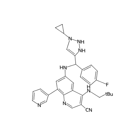 CC(C)(C)CNc1c(C#N)cnc2c(-c3cccnc3)cc(NC(C3=CN(C4CC4)NN3)c3ccc(F)cc3)cc12